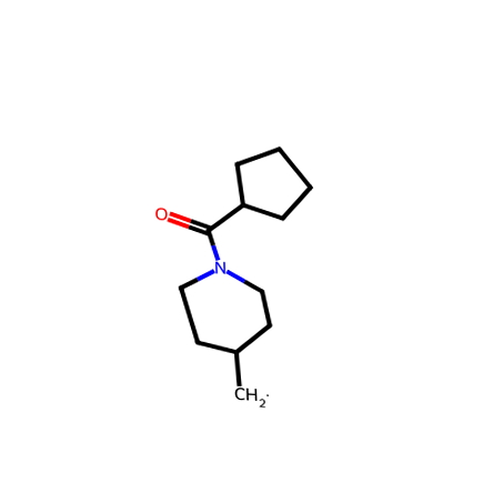 [CH2]C1CCN(C(=O)C2CCCC2)CC1